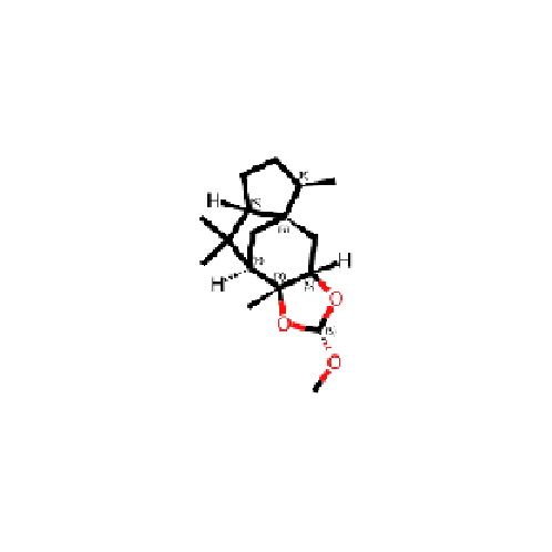 CO[C@H]1O[C@H]2C[C@@]34C[C@H](C(C)(C)[C@@H]3CC[C@H]4C)[C@@]2(C)O1